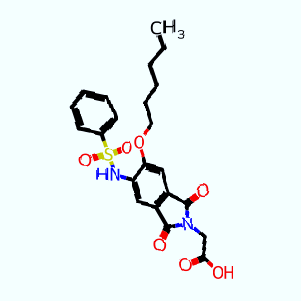 CCCCCCOc1cc2c(cc1NS(=O)(=O)c1ccccc1)C(=O)N(CC(=O)O)C2=O